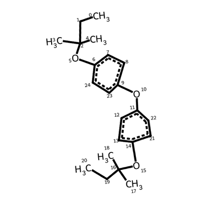 CCC(C)(C)Oc1ccc(Oc2ccc(OC(C)(C)CC)cc2)cc1